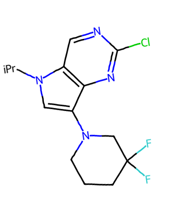 CC(C)n1cc(N2CCCC(F)(F)C2)c2nc(Cl)ncc21